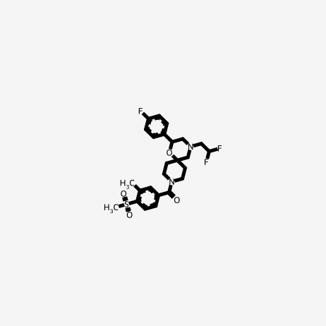 Cc1cc(C(=O)N2CCC3(CC2)CN(CC(F)F)CC(c2ccc(F)cc2)O3)ccc1S(C)(=O)=O